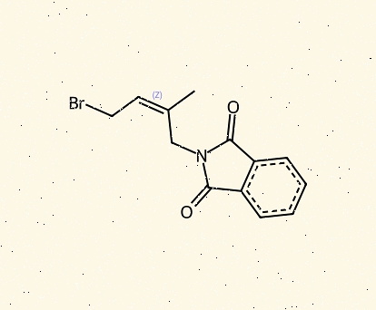 C/C(=C/CBr)CN1C(=O)c2ccccc2C1=O